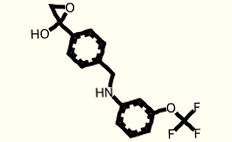 OC1(c2ccc(CNc3cccc(OC(F)(F)F)c3)cc2)CO1